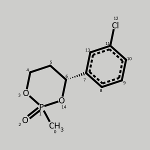 CP1(=O)OCC[C@H](c2cccc(Cl)c2)O1